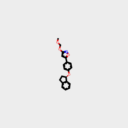 COCOc1cc(-c2ccc(O[C@@H]3CCc4ccccc43)cc2)on1